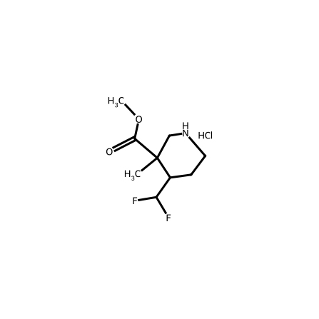 COC(=O)C1(C)CNCCC1C(F)F.Cl